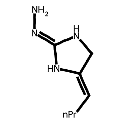 CCCC=C1CNC(=NN)N1